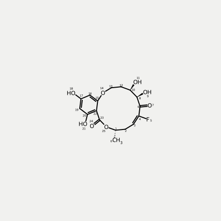 C[C@H]1C/C=C(/F)C(=O)[C@H](O)[C@H](O)CCOc2cc(O)cc(O)c2C(=O)O1